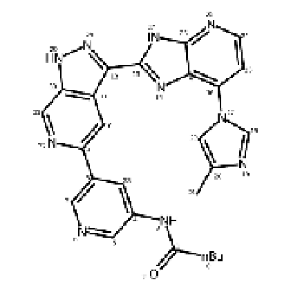 CCCCC(=O)Nc1cncc(-c2cc3c(-c4nc5c(-n6cnc(C)c6)ccnc5[nH]4)n[nH]c3cn2)c1